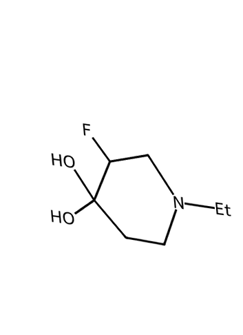 CCN1CCC(O)(O)C(F)C1